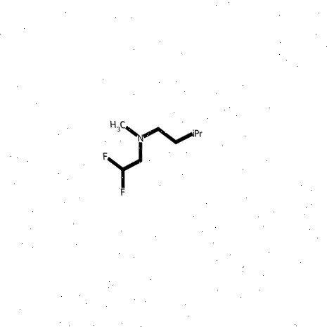 CC(C)CCN(C)CC(F)F